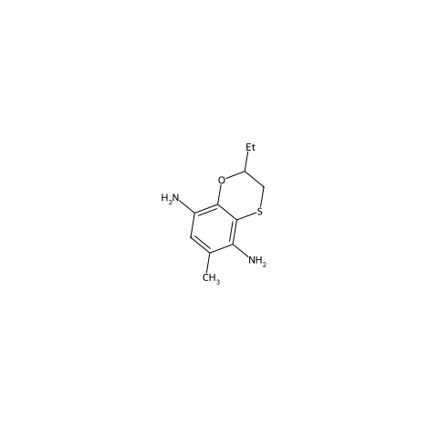 CCC1CSc2c(N)c(C)cc(N)c2O1